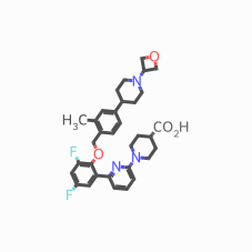 Cc1cc(C2CCN(C3COC3)CC2)ccc1COc1c(F)cc(F)cc1-c1cccc(N2CCC(C(=O)O)CC2)n1